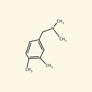 Cc1ccc(CN(C)C)cc1C